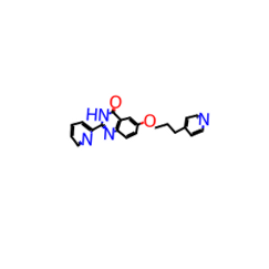 O=c1[nH]c(-c2ccccn2)nc2ccc(OCCCc3ccncc3)cc12